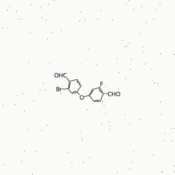 O=Cc1ccc(Oc2ccc(C=O)c(Br)c2)cc1F